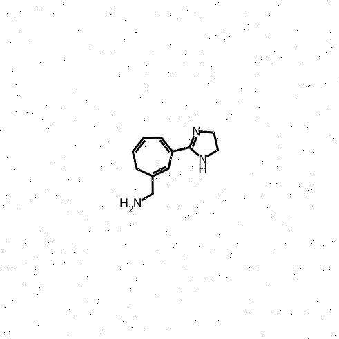 NCC1=CC(C2=NCCN2)=CC=CC1